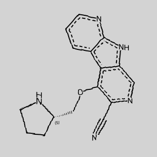 N#Cc1ncc2[nH]c3ncccc3c2c1OC[C@@H]1CCCN1